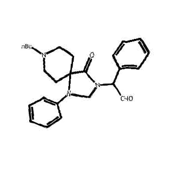 CCCCN1CCC2(CC1)C(=O)N(C(C=O)c1ccccc1)CN2c1ccccc1